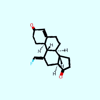 O=C1C=C2CC[C@H]3[C@@H]4CCC(=O)[C@H]4C/C(=C\F)[C@@H]3[C@H]2CC1